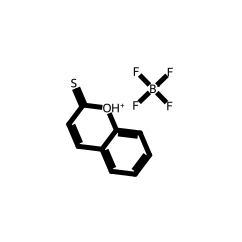 F[B-](F)(F)F.S=c1ccc2ccccc2[oH+]1